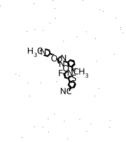 C[C@@H](c1cccc(-c2ncc(OCC3CCN(C)CC3)cn2)c1)n1c(=O)c(F)cc2c3cc(C#N)ccc3sc21